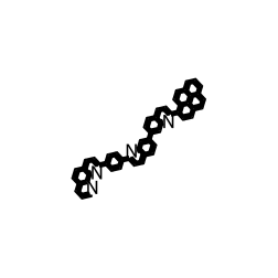 c1cnc2c(c1)ccc1ccc(-c3ccc(-c4ccc5ccc(-c6ccc7ccc(-c8ccc9ccc%10cccc%11ccc8c9c%10%11)nc7c6)cc5n4)cc3)nc12